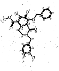 COC(=O)c1c(Br)c(=O)c(OCc2ccccc2)c2n1CCN(Cc1ccc(F)c(Cl)c1)C2=O